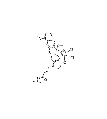 CCN1CC=Cc2cc3c(cc21)Oc1cc2c(cc1C31OCc3c(Cl)c(Cl)c(Cl)c(Cl)c31)CCCN2CCCC(=O)NC(C)(C)C